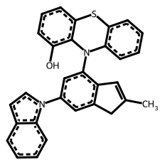 CC1=Cc2c(cc(-n3ccc4ccccc43)cc2N2c3ccccc3Sc3cccc(O)c32)C1